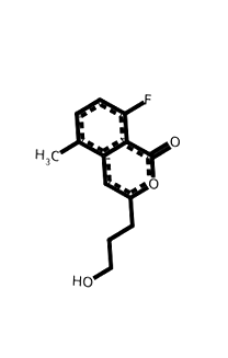 Cc1ccc(F)c2c(=O)oc(CCCO)cc12